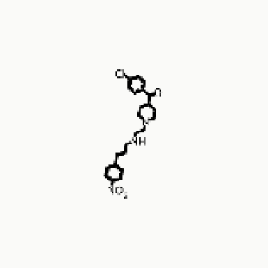 O=C(c1ccc(Cl)cc1)C1CCN(CCNCC=Cc2ccc([N+](=O)[O-])cc2)CC1